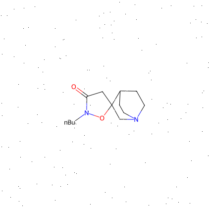 CCCCN1OC2(CC1=O)CN1CCC2CC1